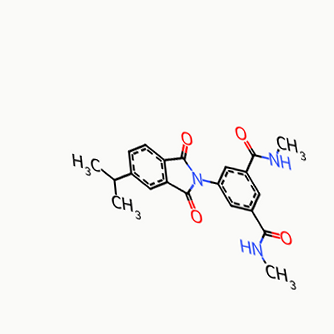 CNC(=O)c1cc(C(=O)NC)cc(N2C(=O)c3ccc(C(C)C)cc3C2=O)c1